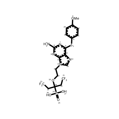 COc1ccc(Sc2nc(N)nc3c2ncn3CCOC(CC(F)(F)F)(CC(F)(F)F)P(=O)(O)O)cc1